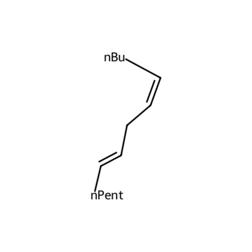 CCCC/C=C\CC=CCCCCC